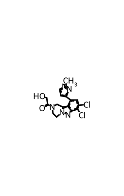 Cn1ccc(-c2cc(Cl)c(Cl)c3nn4c(c23)CN(C(=O)CO)CC4)n1